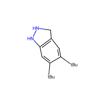 CC(C)(C)c1cc2c(cc1C(C)(C)C)NNC2